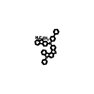 CC1(C)c2ccccc2-c2ccc(N(c3ccc(-c4ccccc4)cc3)c3ccc4sc5ccc6c(c7ccccc7n6-c6ccccc6)c5c4c3)cc21